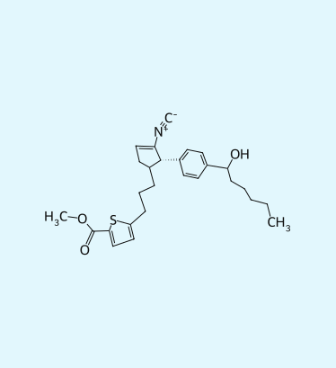 [C-]#[N+]C1=CCC(CCCc2ccc(C(=O)OC)s2)[C@H]1c1ccc(C(O)CCCCC)cc1